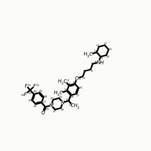 Cc1c(OCCCCNC2CCCCC2C)ccc(C(C)N2CCN(C(=O)c3ccc(C(F)(F)F)cc3)CC2)c1C